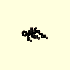 C=CCO/C(C)=C/C=C(\C=C)C(C)(C)c1ccccc1